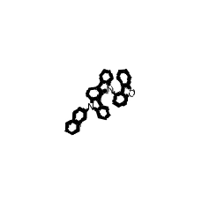 c1ccc2cc(-n3c4ccccc4c4c3ccc3c5ccccc5n(-c5cccc6oc7ccccc7c56)c34)ccc2c1